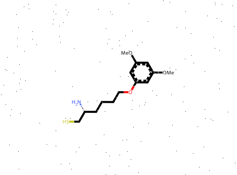 COc1cc(OC)cc(OCCCC[C@@H](N)CS)c1